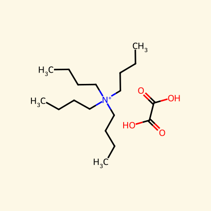 CCCC[N+](CCCC)(CCCC)CCCC.O=C(O)C(=O)O